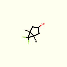 OC1C[C@@H]2[C@H](C1)C2(F)F